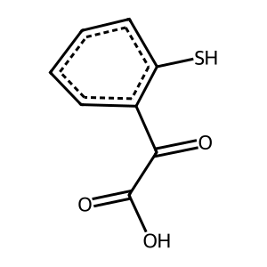 O=C(O)C(=O)c1ccccc1S